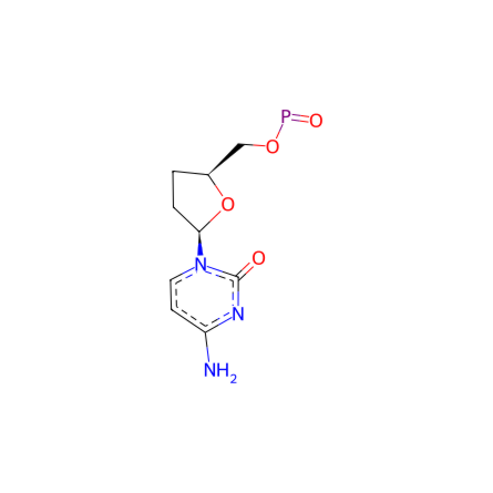 Nc1ccn([C@H]2CC[C@@H](COP=O)O2)c(=O)n1